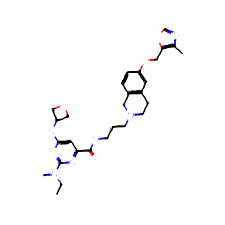 CCN(C)c1nc(NC2COC2)cc(C(=O)NC[C@H](O)CN2CCc3cc(OCc4ocnc4C)ccc3C2)n1